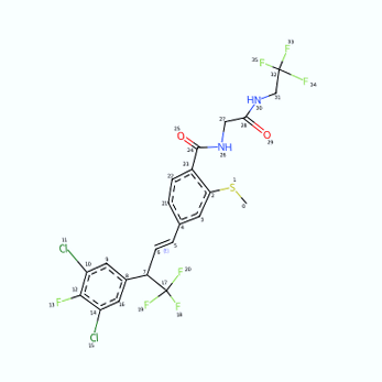 CSc1cc(/C=C/C(c2cc(Cl)c(F)c(Cl)c2)C(F)(F)F)ccc1C(=O)NCC(=O)NCC(F)(F)F